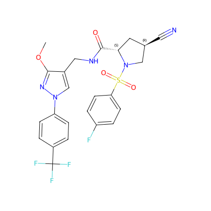 COc1nn(-c2ccc(C(F)(F)F)cc2)cc1CNC(=O)[C@@H]1C[C@@H](C#N)CN1S(=O)(=O)c1ccc(F)cc1